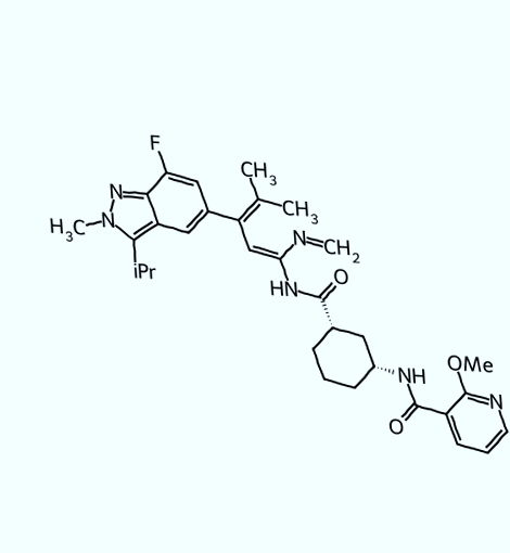 C=N/C(=C\C(=C(C)C)c1cc(F)c2nn(C)c(C(C)C)c2c1)NC(=O)[C@H]1CCC[C@@H](NC(=O)c2cccnc2OC)C1